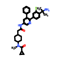 CN(C(=O)C1CC1)C1CCC(CC(=O)Nc2cnc(-c3ccc(C(C)(C)N)c(F)c3)c(-c3ccccc3)c2)CC1